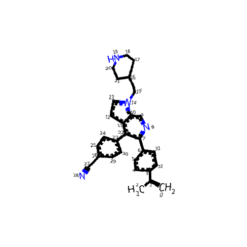 C=C(C)c1ccc(-c2ncc3c(ccn3CC3CCNCC3)c2-c2ccc(C#N)cc2)cc1